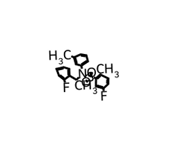 Cc1cccc(N(C(C)c2ccccc2F)S(=O)(=O)c2cc(F)ccc2C)c1